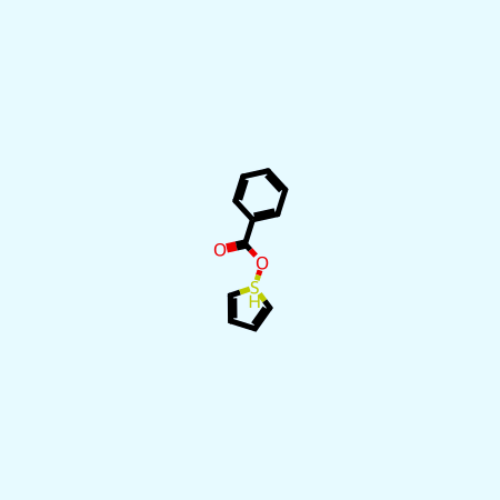 O=C(O[SH]1C=CC=C1)c1ccccc1